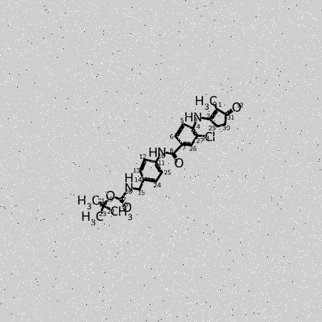 CC1=C(Nc2ccc(C(=O)Nc3ccc(CNC(=O)OC(C)(C)C)cc3)cc2Cl)CCC1=O